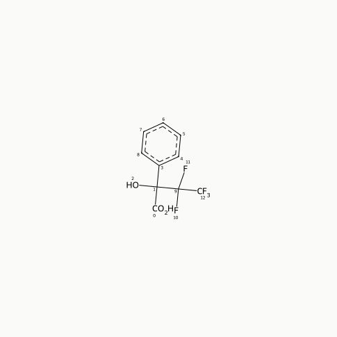 O=C(O)C(O)(c1ccccc1)C(F)(F)C(F)(F)F